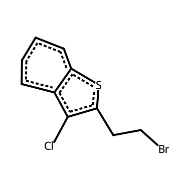 Clc1c(CCBr)sc2ccccc12